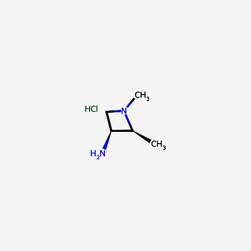 C[C@H]1[C@@H](N)CN1C.Cl